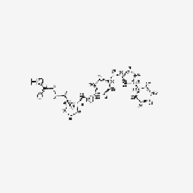 O=C(O)CCCN1CCC[C@@H]1COc1ccc(Cc2ccc(-c3ccccc3)s2)cc1